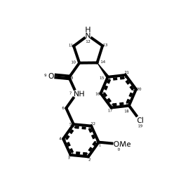 COc1cccc(CNC(=O)C2CNC[C@H]2c2ccc(Cl)cc2)c1